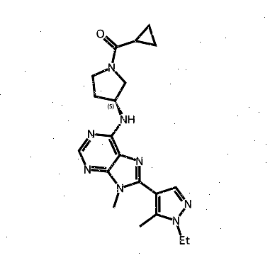 CCn1ncc(-c2nc3c(N[C@H]4CCN(C(=O)C5CC5)C4)ncnc3n2C)c1C